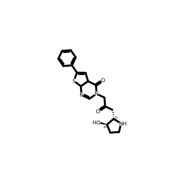 O=C(C[C@@H]1NCC[C@H]1O)CN1C=NC2SC(c3ccccc3)=CC2C1=O